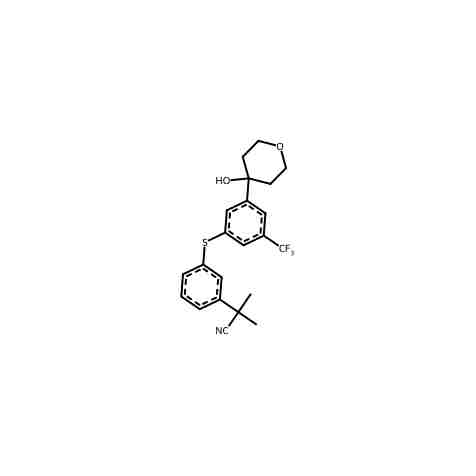 CC(C)(C#N)c1cccc(Sc2cc(C(F)(F)F)cc(C3(O)CCOCC3)c2)c1